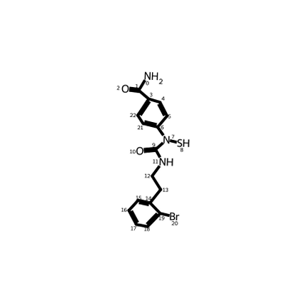 NC(=O)c1ccc(N(S)C(=O)NCCc2ccccc2Br)cc1